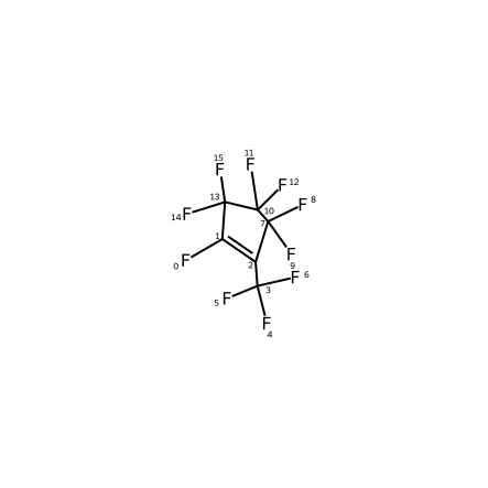 FC1=C(C(F)(F)F)C(F)(F)C(F)(F)C1(F)F